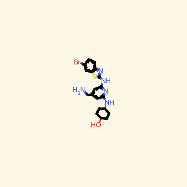 NCc1cc(Nc2nc3ccc(Br)cc3s2)nc(N[C@H]2CC[C@H](O)CC2)c1